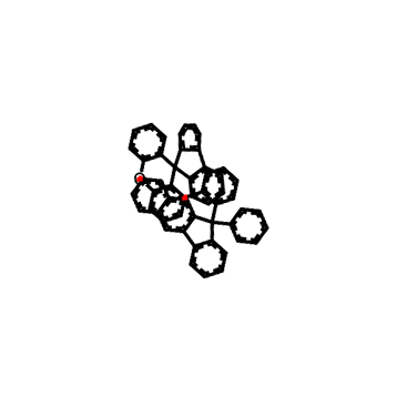 c1ccc(C2(c3ccccc3-c3cccc4c3C3(c5ccccc5O4)c4ccccc4-c4ccccc43)c3ccccc3-c3cc4ccccc4cc32)cc1